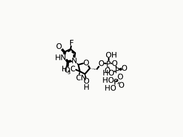 C[C@@]1(C#N)[C@H](O)[C@@H](COP(=O)(O)OP(=O)(O)OP(=O)(O)O)O[C@H]1n1cc(F)c(=O)[nH]c1=O